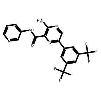 Nc1ncc(-c2cc(C(F)(F)F)cc(C(F)(F)F)c2)nc1C(=O)Nc1cccnc1